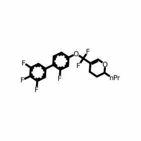 CCCC1CCC(C(F)(F)Oc2ccc(-c3cc(F)c(F)c(F)c3)c(F)c2)=CO1